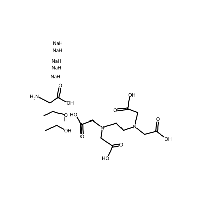 CCO.CCO.NCC(=O)O.O=C(O)CN(CCN(CC(=O)O)CC(=O)O)CC(=O)O.[NaH].[NaH].[NaH].[NaH].[NaH]